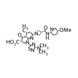 COc1ccc(NC(=O)C2CN(c3cc(C)c4c(=O)c(C(=O)O)cn(-c5nc(N(C)C)ns5)c4n3)C2)nc1